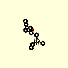 c1ccc(-c2nc(-c3cccc(-c4ccc(-c5cccc6c5C5(c7cc8ccccc8cc7-6)C6CC7CC(C6)CC5C7)cc4)c3)nc(-c3ccc4ccccc4c3)n2)cc1